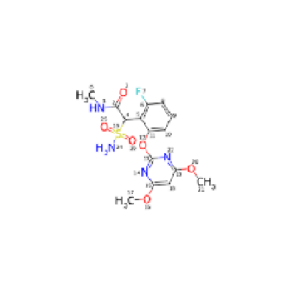 CNC(=O)C(c1c(F)cccc1Oc1nc(OC)cc(OC)n1)S(N)(=O)=O